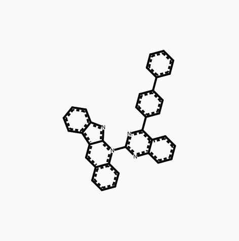 c1ccc(-c2ccc(-c3nc(-n4c5nc6ccccc6c-5cc5ccccc54)nc4ccccc34)cc2)cc1